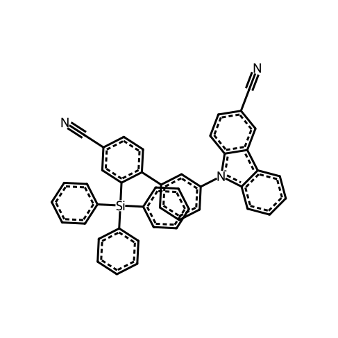 N#Cc1ccc(-c2cccc(-n3c4ccccc4c4cc(C#N)ccc43)c2)c([Si](c2ccccc2)(c2ccccc2)c2ccccc2)c1